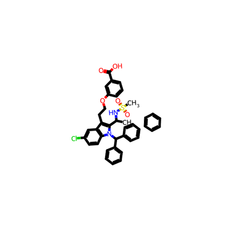 CC(NS(C)(=O)=O)c1c(CCOc2cccc(C(=O)O)c2)c2cc(Cl)ccc2n1C(c1ccccc1)c1ccccc1.c1ccccc1